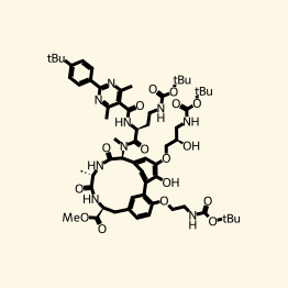 COC(=O)[C@@H]1Cc2ccc(OCCNC(=O)OC(C)(C)C)c(c2)-c2cc(cc(OC[C@H](O)CNC(=O)OC(C)(C)C)c2O)[C@H](N(C)C(=O)[C@H](CCNC(=O)OC(C)(C)C)NC(=O)c2c(C)nc(-c3ccc(C(C)(C)C)cc3)nc2C)C(=O)N[C@@H](C)C(=O)N1